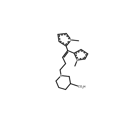 Cn1cccc1C(=CCCN1CCCC(C(=O)O)C1)c1cccn1C